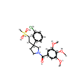 COc1cc(C(=O)N2CCC(CCS(C)(=O)=O)(c3cccc(Cl)c3)C2)cc(OC)c1OC